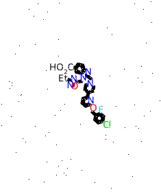 CCc1noc(Cn2c(CN3CCC(c4cccc(OCc5ccc(Cl)cc5F)n4)CC3)nc3ccc(C(=O)O)cc32)n1